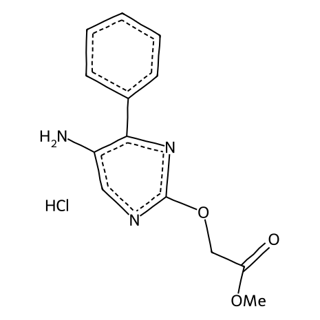 COC(=O)COc1ncc(N)c(-c2ccccc2)n1.Cl